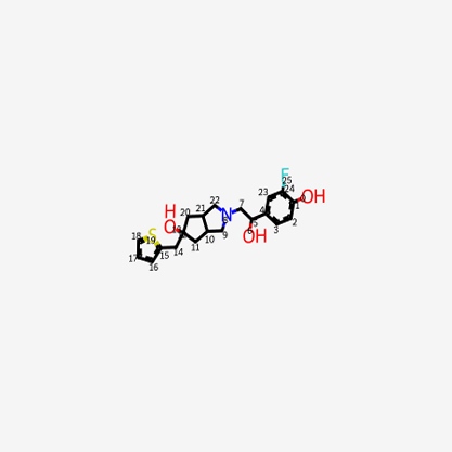 Oc1ccc(C(O)CN2CC3CC(O)(Cc4cccs4)CC3C2)cc1F